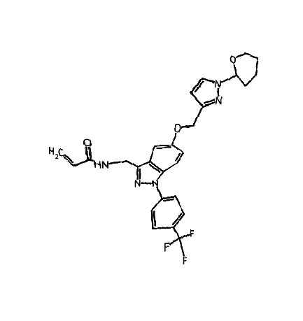 C=CC(=O)NCc1nn(-c2ccc(C(F)(F)F)cc2)c2ccc(OCc3ccn(C4CCCCO4)n3)cc12